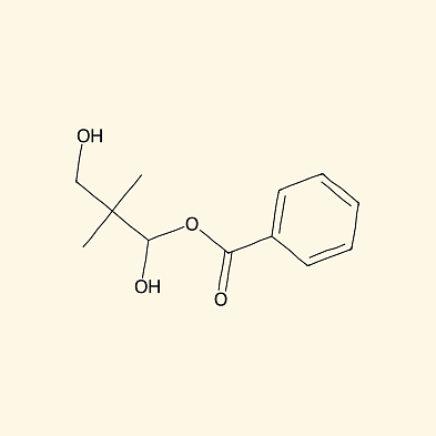 CC(C)(CO)C(O)OC(=O)c1ccccc1